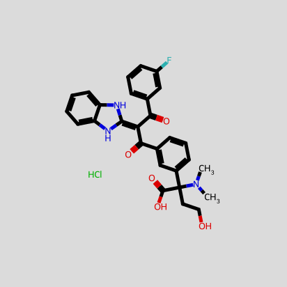 CN(C)C(CCO)(C(=O)O)c1cccc(C(=O)C(C(=O)c2cccc(F)c2)=C2Nc3ccccc3N2)c1.Cl